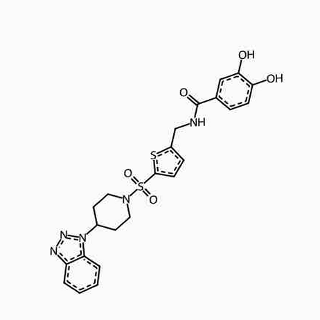 O=C(NCc1ccc(S(=O)(=O)N2CCC(n3nnc4ccccc43)CC2)s1)c1ccc(O)c(O)c1